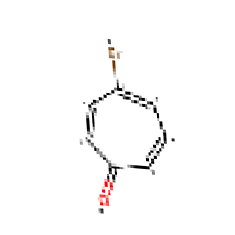 O=c1cccc(Br)cc1